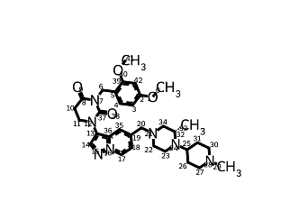 COc1ccc(CN2C(=O)CCN(c3cnn4ccc(CN5CCN(C6CCN(C)CC6)[C@@H](C)C5)cc34)C2=O)c(OC)c1